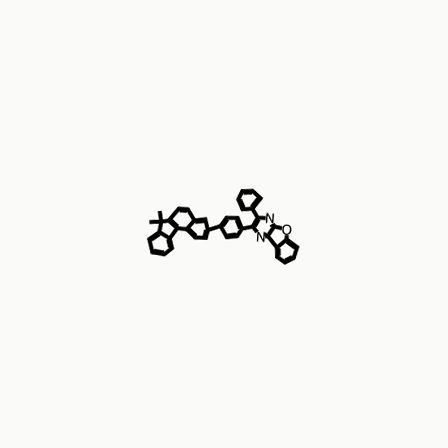 CC1(C)c2ccccc2-c2c1ccc1cc(-c3ccc(-c4nc5c(nc4-c4ccccc4)oc4ccccc45)cc3)ccc21